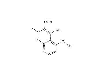 CCOC(=O)c1c(C)nc2cccc(OC(C)C)c2c1N